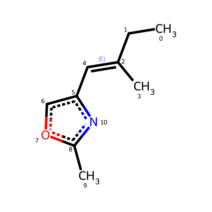 CC/C(C)=C/c1coc(C)n1